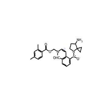 Cc1ccc(C(=O)OCN(C)/C=C\c2c(C=O)cccc2[S+]([O-])N2CCC(N)C23CC3)c(C)c1